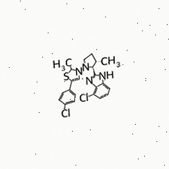 CC1SC(c2ccc(Cl)cc2)=[C]N1N1CC[C@H](C)[C@H]1c1nc2c(Cl)cccc2[nH]1